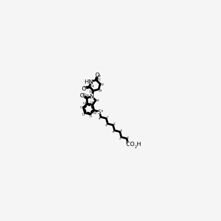 O=C(O)CCCCCCCCSc1cccc2c1CN(C1CCC(=O)NC1=O)C2=O